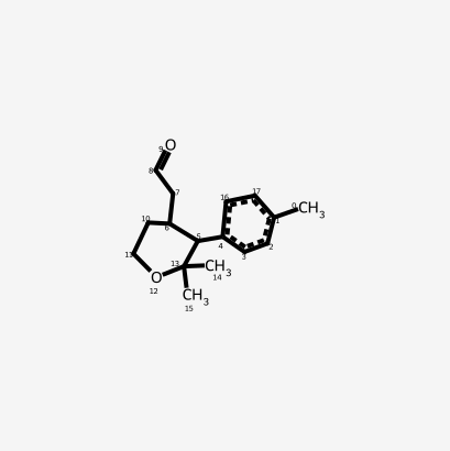 Cc1ccc(C2C(CC=O)CCOC2(C)C)cc1